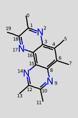 Cc1nc2c(C)c(C)c3nc(C)c(C)nc3c2nc1C